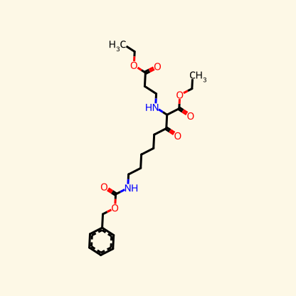 CCOC(=O)CCNC(C(=O)CCCCCNC(=O)OCc1ccccc1)C(=O)OCC